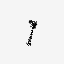 CCN(CC)c1ccc(NC(=O)c2cccc(CCCOCCOCCOCCOCCOCCOCCC(=O)O)c2)c(-c2cc(C(O)N[C@H]3CCCc4ccccc43)ccn2)c1